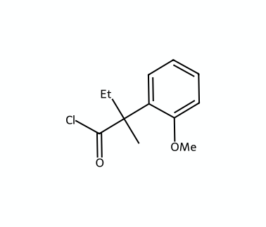 CCC(C)(C(=O)Cl)c1ccccc1OC